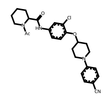 CC(=O)N1CCCCC1C(=O)Nc1ccc(OC2CCN(c3ccc(C#N)cc3)CC2)c(Cl)c1